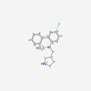 O=C(O)N(CC1CCNC1)c1ccc(F)cc1-c1ccccc1